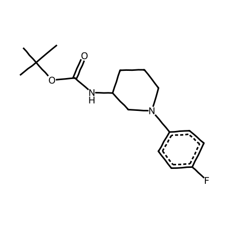 CC(C)(C)OC(=O)NC1CCCN(c2ccc(F)cc2)C1